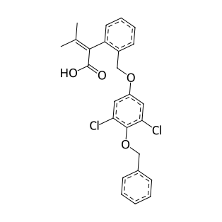 CC(C)=C(C(=O)O)c1ccccc1COc1cc(Cl)c(OCc2ccccc2)c(Cl)c1